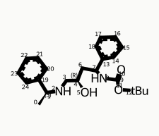 C[C@H](NC[C@H](O)CC(NC(=O)OC(C)(C)C)c1ccccc1)c1ccccc1